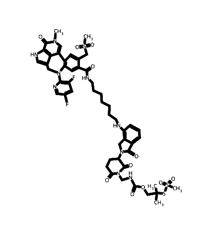 Cn1cc2c3c(c[nH]c3c1=O)CN(c1ncc(F)cc1F)c1cc(C(=O)NCCCCCCCNc3cccc4c3CN(C3CCC(=O)N(CNC(=O)OCC(C)(C)SS(C)(=O)=O)C3=O)C4=O)c(CS(C)(=O)=O)cc1-2